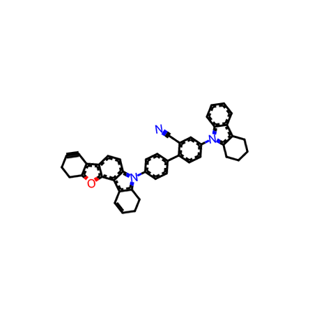 N#Cc1cc(-n2c3c(c4ccccc42)CCCC3)ccc1-c1ccc(-n2c3c(c4c5oc6c(c5ccc42)C#CCC6)C=CCC3)cc1